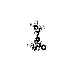 CCn1nccc1C(=O)N[C@H](C(=O)Nc1ccc(CC[C@H](CCC(N)=O)C(=O)N2CCC(C)(O)CC2)cc1F)C1CCCCCC1